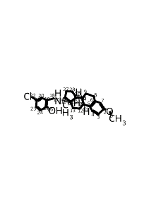 COc1ccc2c(c1)CC[C@@H]1[C@@H]2CC[C@]2(C)[C@H](NCc3cc(Cl)ccc3O)CC[C@@H]12